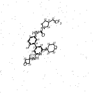 Cc1ccc(NC(=O)N2CCC(CC(F)(F)F)C2)cc1-c1cc(NC2(C)COC2)nc(N2CCOCC2)c1